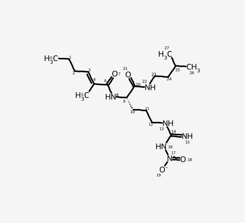 CCC/C=C(\C)C(=O)N[C@@H](CCCNC(=N)N[N+](=O)[O-])C(=O)N[CH]CC(C)C